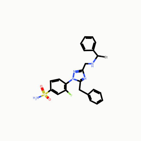 CCC(NCc1nc(Cc2ccccc2)n(-c2ccc(S(N)(=O)=O)cc2F)n1)c1ccccc1